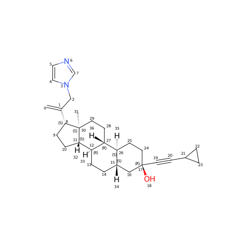 C=C(Cn1ccnc1)[C@H]1CC[C@H]2[C@@H]3CC[C@H]4C[C@@](O)(C#CC5CC5)CC[C@@H]4[C@H]3CC[C@]12C